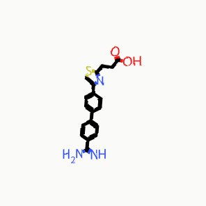 N=C(N)c1ccc(-c2ccc(-c3csc(CCC(=O)O)n3)cc2)cc1